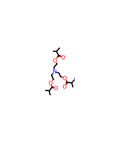 CC(C)C(=O)OCCN(CCOC(=O)C(C)C)CCOC(=O)C(C)I